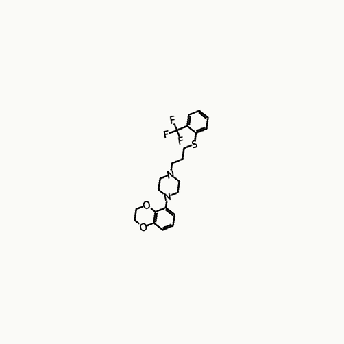 FC(F)(F)c1ccccc1SCCCN1CCN(c2cccc3c2OCCO3)CC1